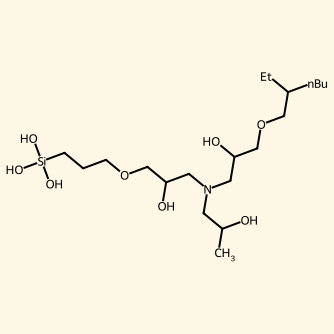 CCCCC(CC)COCC(O)CN(CC(C)O)CC(O)COCCC[Si](O)(O)O